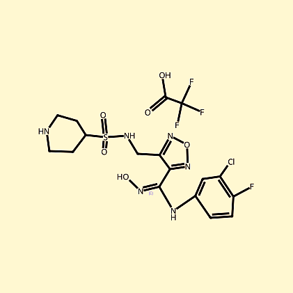 O=C(O)C(F)(F)F.O=S(=O)(NCc1nonc1/C(=N\O)Nc1ccc(F)c(Cl)c1)C1CCNCC1